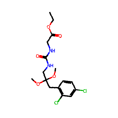 CCOC(=O)CNC(=O)NCC(Cc1ccc(Cl)cc1Cl)(OC)OC